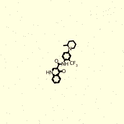 CC1CCCCN1c1ccc(NC(=O)c2c[nH]c3ccccc3c2=O)c(C(F)(F)F)c1